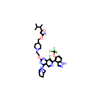 CC(C)C(C)c1cc(OCC2CCN(CCOc3nc(N4CC5CCC(C4)N5)c4cnc(-c5c(OC(F)(F)F)ccc6[nH]ncc56)c(F)c4n3)CC2)no1